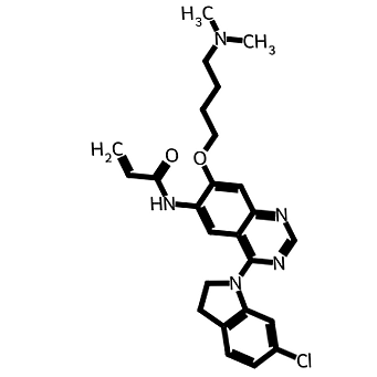 C=CC(=O)Nc1cc2c(N3CCc4ccc(Cl)cc43)ncnc2cc1OCCCCN(C)C